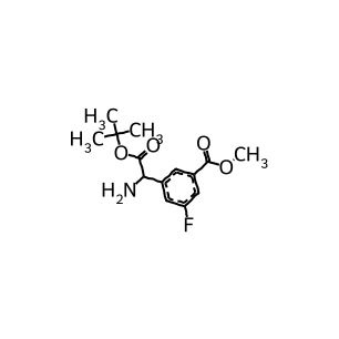 COC(=O)c1cc(F)cc(C(N)C(=O)OC(C)(C)C)c1